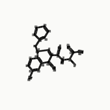 CC(NC(=O)c1cn(Cc2ccccc2)c2ccc(Br)cc2c1=O)C(=O)O